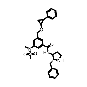 CN(c1cc(COC2CC2c2ccccc2)cc(C(=O)NC2CCN[C@H]2Cc2ccccc2)c1)S(C)(=O)=O